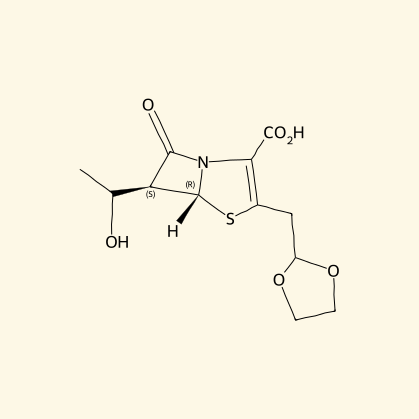 CC(O)[C@H]1C(=O)N2C(C(=O)O)=C(CC3OCCO3)S[C@H]12